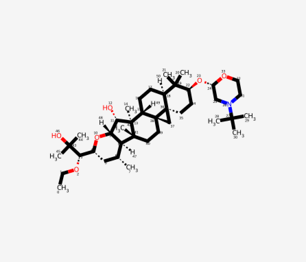 CCO[C@@H]([C@H]1C[C@@H](C)[C@H]2[C@H](O1)[C@H](O)[C@@]1(C)[C@@H]3CC[C@H]4C(C)(C)[C@@H](O[C@H]5CN(C(C)(C)C)CCO5)CC[C@@]45C[C@@]35CC[C@]21C)C(C)(C)O